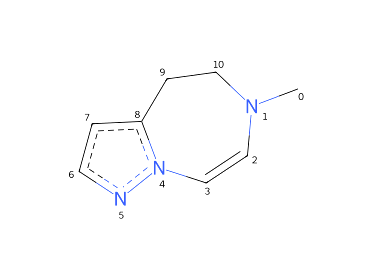 CN1C=Cn2nccc2CC1